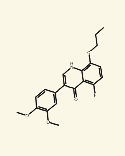 CCCOc1ccc(F)c2c(=O)c(-c3ccc(OC)c(OC)c3)c[nH]c12